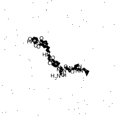 CN(CCNCCCc1ccc2c(c1)C(=O)N(C1CCC(=O)NC1=O)C2=O)C(=O)c1ccc(-n2cc(NC(=O)c3coc(-c4ccnc(NCC5CC5)c4)n3)c(C(N)=O)n2)cc1